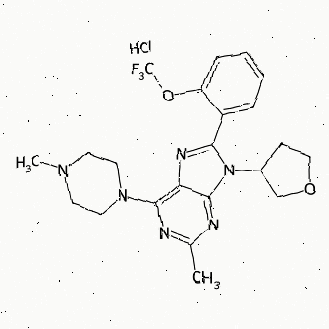 Cc1nc(N2CCN(C)CC2)c2nc(-c3ccccc3OC(F)(F)F)n(C3CCOC3)c2n1.Cl